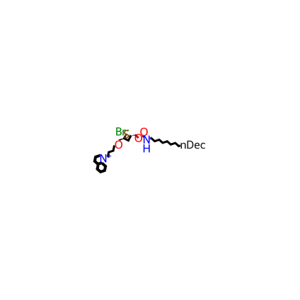 CCCCCCCCCCCCCCCCCCNC(=O)OC[C@@H]1C[C@@H](COCCCC[n+]2cccc3ccccc32)S1.[Br-]